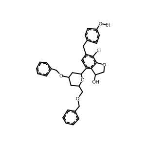 CCOc1ccc(Cc2cc(C3CC(OCc4ccccc4)CC(COCc4ccccc4)O3)c3c(c2Cl)OCC3O)cc1